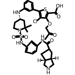 CC(=O)COc1c(C(=O)O)sc(-c2cccc(N[C@H]3CCN(S(=O)(=O)Nc4cccc(NC(=O)C5C[C@H]6CNC[C@H]6C5)c4)C(C)(C)C3)c2)c1Cl